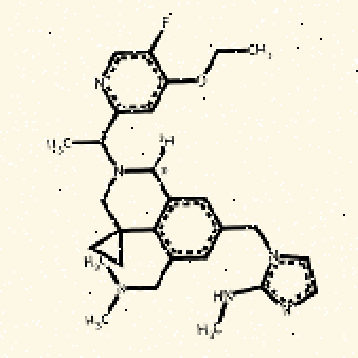 [2H][C@H]1c2cc(Cn3ccnc3NC)cc(CN(C)C)c2C2(CC2)CN1C(C)c1cc(OCC)c(F)cn1